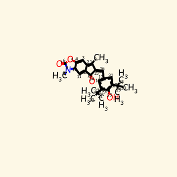 CC1=C2C=C3OC(=O)N(C)C3C=C2C(=O)C1=Cc1cc(C(C)(C)C)c(O)c(C(C)(C)C)c1